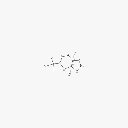 CC(C)(C)C1CC[C@H]2COC[C@H]2C1